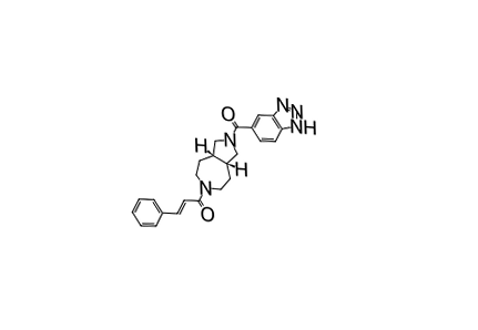 O=C(C=Cc1ccccc1)N1CC[C@@H]2CN(C(=O)c3ccc4[nH]nnc4c3)C[C@@H]2CC1